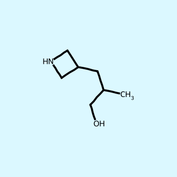 CC(CO)CC1CNC1